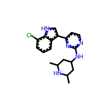 CC1CC(Nc2nccc(-c3c[nH]c4c(Cl)cccc34)n2)CC(C)N1